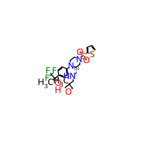 CC1(CNC[C@H]2CN(S(=O)(=O)c3cccs3)CCN2c2ccc([C@](C)(O)C(F)(F)F)cc2)COC1